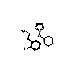 N/N=N/c1ccccc1Br.c1cnn(NC2CCCCC2)c1